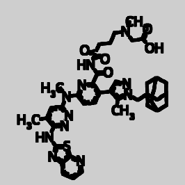 Cc1cc(N(C)c2ccc(-c3cnn(CC45CC6CC(CC(C6)C4)C5)c3C)c(C(=O)NS(=O)(=O)CCCN(C)CC(=O)O)n2)nnc1Nc1nc2cccnc2s1